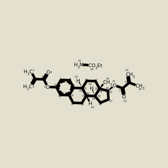 C=C(C)C(=O)Oc1ccc2c(c1)CC[C@@H]1[C@@H]2CC[C@]2(C)[C@@H](OC(=O)C(=C)C)CC[C@@H]12.CCOC(N)=O